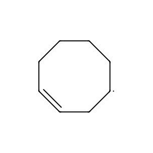 [CH]1CC=CCCCC1